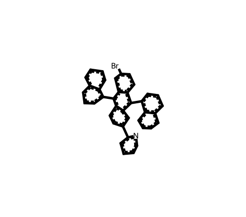 Brc1ccc2c(-c3cccc4ccccc34)c3cc(-c4ccccn4)ccc3c(-c3cccc4ccccc34)c2c1